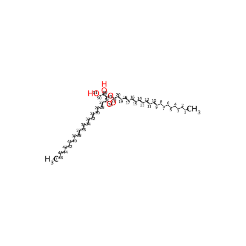 CCCCCCCCCC=CC=CC=CC=CC=CC=CC(=O)OC(C(=O)C=CC=CC=CC=CC=CC=CCCCCCCCCC)C(O)CO